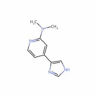 CN(C)c1cc(-c2c[nH]cn2)ccn1